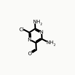 Nc1nc(N)c(C=O)nc1Cl